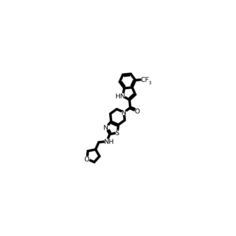 O=C(c1cc2c(C(F)(F)F)cccc2[nH]1)N1CCc2nc(NCC3CCOC3)sc2C1